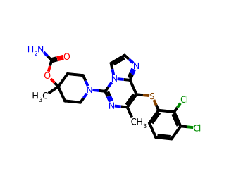 Cc1nc(N2CCC(C)(OC(N)=O)CC2)n2ccnc2c1Sc1cccc(Cl)c1Cl